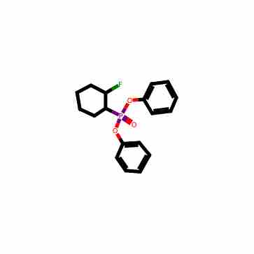 O=P(Oc1ccccc1)(Oc1ccccc1)C1CCCCC1F